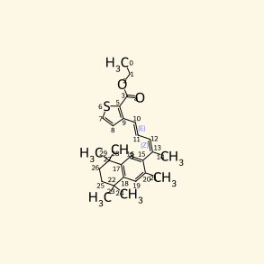 CCOC(=O)c1sccc1/C=C/C=C(/C)c1cc2c(cc1C)C(C)(C)CCC2(C)C